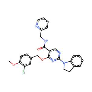 COc1ccc(COc2nc(N3CCc4ccccc43)ncc2C(=O)NCc2ccccn2)cc1Cl